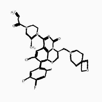 C=CC(=O)N1CCN(c2nc(=O)n3c4c(c(-c5cc(Cl)c(F)cc5F)c(Cl)cc24)SC[C@@H]3CN2CCC3(CC2)COC3)[C@@H](C)C1